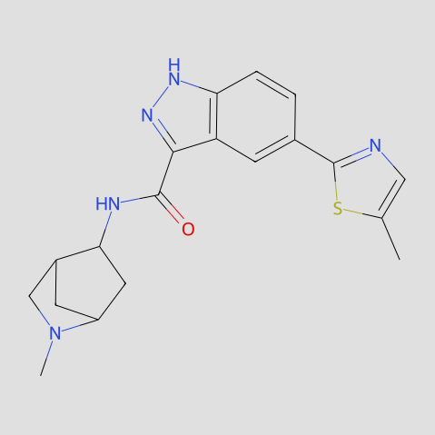 Cc1cnc(-c2ccc3[nH]nc(C(=O)NC4CC5CC4CN5C)c3c2)s1